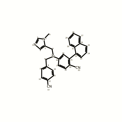 Cn1cncc1CN(Cc1ccc(C#N)cc1)c1ccc(C#N)c(-c2cccc3ccccc23)c1